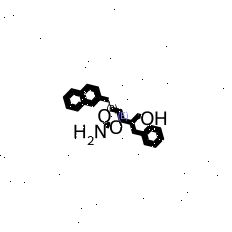 NC(=O)O[C@@H](/C=C/C(CO)Cc1ccccc1)Cc1ccc2ccccc2c1